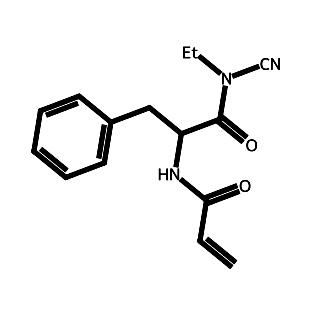 C=CC(=O)NC(Cc1ccccc1)C(=O)N(C#N)CC